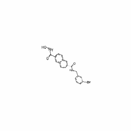 O=C(NO)c1ccc2cc(C(=O)NCc3cccc(Br)c3)ccc2c1